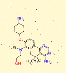 CCN(CCO)c1c(OC2CCC(N)CC2)ccc2c1CC(C)(C)c1c(N)ncnc1-2